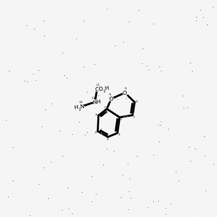 C1=Cc2ccccc2OO1.NNC(=O)O